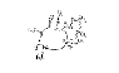 C=C1CCC(=O)N(C)CCC[C@@](C)(O)CC[C@H](O[C@H]2C[C@@](C)(OC)C[C@H](C)O2)[C@@H](C)C(=O)C1